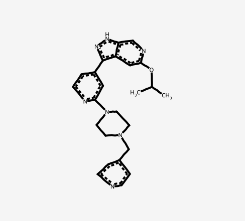 CC(C)Oc1cc2c(-c3ccnc(N4CCN(Cc5ccncc5)CC4)c3)n[nH]c2cn1